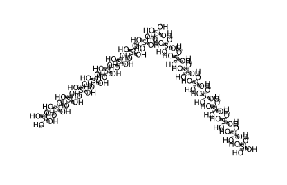 O[Si](O)(O)O.O[Si](O)(O)O.O[Si](O)(O)O.O[Si](O)(O)O.O[Si](O)(O)O.O[Si](O)(O)O.O[Si](O)(O)O.O[Si](O)(O)O.O[Si](O)(O)O.O[Si](O)(O)O.O[Si](O)(O)O.O[Si](O)(O)O.O[Si](O)(O)O.O[Si](O)(O)O.O[Si](O)(O)O.O[Si](O)(O)O.O[Si](O)(O)O.O[Si](O)(O)O.O[Si](O)(O)O